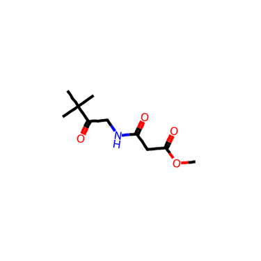 COC(=O)CC(=O)NCC(=O)C(C)(C)C